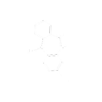 CCN1c2ccc(C(=O)O)cc2NC(=O)c2ccccc21